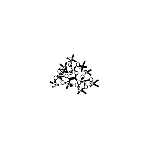 C[Si](C)(C)O[Si](OC([SiH3])=C(O[Si](O[Si](C)(C)C)(O[Si](C)(C)C)O[Si](C)(C)C)O[Si](O[Si](C)(C)C)(O[Si](C)(C)C)O[Si](C)(C)C)(O[Si](C)(C)C)O[Si](C)(C)C